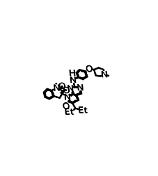 CCC(CC)c1cc2cnc(Nc3ccc(OC4CCN(C)CC4)cc3)nc2n(C2Cc3ccccc3N(C)S2(=O)=O)c1=O